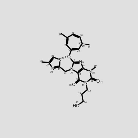 CC1=CC(Oc2nc3c(c(=O)n(CCCO)c(=O)n3C)n2Cc2nc(C)cs2)=C[C@H](C)C=C1